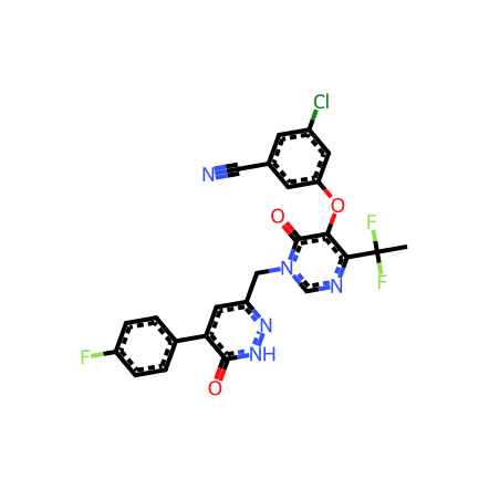 CC(F)(F)c1ncn(Cc2cc(-c3ccc(F)cc3)c(=O)[nH]n2)c(=O)c1Oc1cc(Cl)cc(C#N)c1